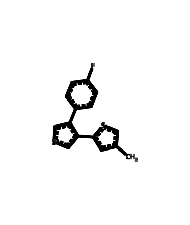 Cc1csc(-c2cscc2-c2ccc(F)cc2)c1